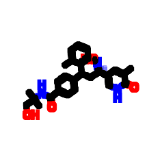 Cc1ccccc1C(C/C(=N\O)c1c[nH]c(=O)c(C)c1)c1ccc(C(=O)NC(C)(C)CO)cc1